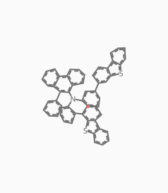 c1ccc(-c2c(N(c3cccc(-c4ccc5c(c4)sc4ccccc45)c3)c3ccccc3-c3cccc4c3sc3ccccc34)c3ccccc3c3ccccc23)cc1